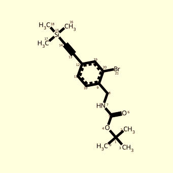 CC(C)(C)OC(=O)NCc1ccc(C#C[Si](C)(C)C)cc1Br